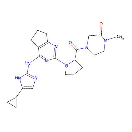 CN1CCN(C(=O)C2CCCN2c2nc3c(c(Nc4ncc(C5CC5)[nH]4)n2)CCC3)CC1=O